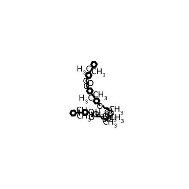 CC(C)(c1ccccc1)c1ccc(OC(=O)OCCC[Si](C)(C)O[Si](C)(C)O[Si](C)(C)CCCOc2ccc(C(C)(C)c3ccc(OC(=O)Oc4ccc(C(C)(C)c5ccccc5)cc4)cc3)cc2)cc1